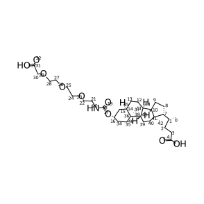 C[C@H](CCC(=O)O)[C@H]1CC[C@H]2[C@@H]3CC[C@@H]4C[C@@H](OC(=O)NCCOCCOCCOCC(=O)O)CC[C@]4(C)[C@H]3CC[C@]12C